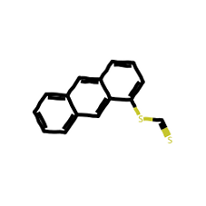 S=CSc1cccc2cc3ccccc3cc12